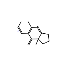 C=C1C(/C=C\C)=C(C)N=C2CCCC12C